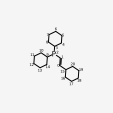 C(=CP(C1CCCCC1)C1CCCCC1)C1CCCCC1